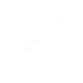 CCC(OC)Oc1cc(Oc2ccc(S(C)(=O)=O)cc2)cc(C(=O)Nc2cc(C)n(C(=O)OC(C)(C)C)n2)c1